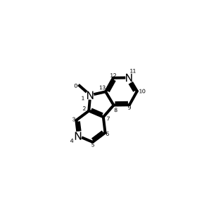 Cn1c2cnccc2c2ccncc21